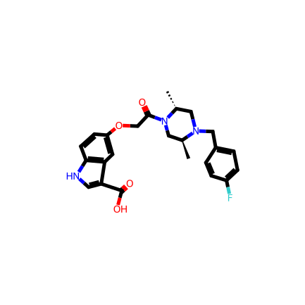 C[C@@H]1CN(Cc2ccc(F)cc2)[C@@H](C)CN1C(=O)COc1ccc2[nH]cc(C(=O)O)c2c1